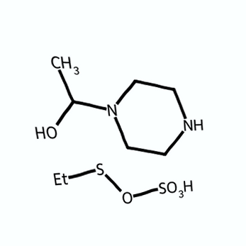 CC(O)N1CCNCC1.CCSOS(=O)(=O)O